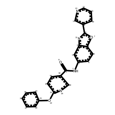 O=C(Nc1ccc2oc(-c3cccnc3)nc2c1)c1ccc(Oc2ccccc2)nc1